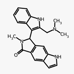 CN(C)Cc1[nH]c2ccccc2c1C1c2cc3[nH]ccc3cc2C(=O)N1C